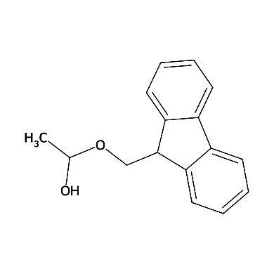 CC(O)OCC1c2ccccc2-c2ccccc21